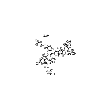 CC1(C)C(=CC=C(C=CC2N(CCCCS(=O)(=O)O)c3ccc4c(S(=O)(=O)O)cc(S(=O)(=O)O)cc4c3C2(C)C)c2cccc(CCCCC(=O)O)c2)N=C2C1=CC(Cl)=CN2CCCCS(=O)(=O)O.[NaH]